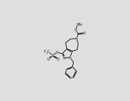 CC(C)(C)OC(=O)N1CCc2c(OS(=O)(=O)C(F)(F)F)nn(Cc3ccccc3)c2CC1